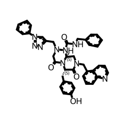 O=C1[C@H](Cc2ccc(O)cc2)N2C(=O)CN(Cc3cn(-c4ccccc4)nn3)N(C(=O)NCc3ccccc3)[C@H]2CN1Cc1cccc2ncccc12